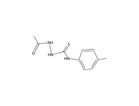 [CH2]C(=O)NNC(=S)Nc1ccc(C)cc1